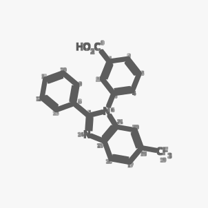 O=C(O)c1cccc(-n2c(-c3ccccc3)nc3ccc(C(F)(F)F)cc32)c1